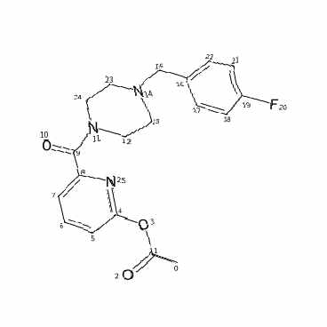 CC(=O)Oc1cccc(C(=O)N2CCN(Cc3ccc(F)cc3)CC2)n1